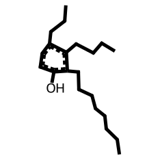 CCCCCCCCc1c(O)ccc(CCC)c1CCCC